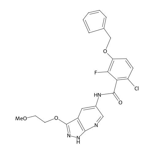 COCCOc1n[nH]c2ncc(NC(=O)c3c(Cl)ccc(OCc4ccccc4)c3F)cc12